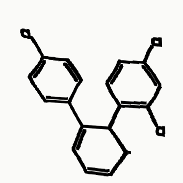 Clc1ccc(C2=CC=C[CH]C2c2ccc(Cl)cc2Cl)cc1